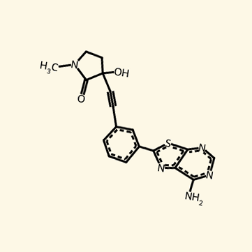 CN1CCC(O)(C#Cc2cccc(-c3nc4c(N)ncnc4s3)c2)C1=O